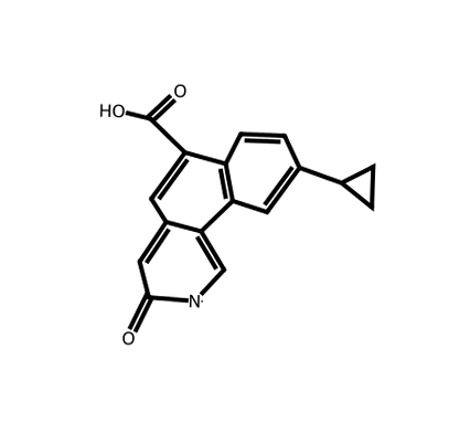 O=C1C=c2cc(C(=O)O)c3ccc(C4CC4)cc3c2=C[N]1